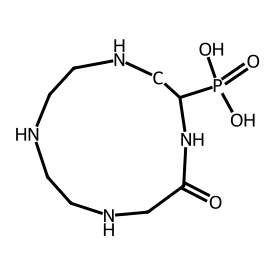 O=C1CNCCNCCNCC(P(=O)(O)O)N1